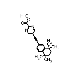 COC(=O)c1ncc(C#Cc2ccc3c(c2)C(C)(C)CCC3(C)C)cn1